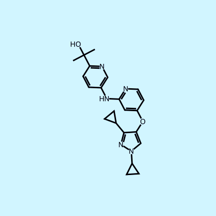 CC(C)(O)c1ccc(Nc2cc(Oc3cn(C4CC4)nc3C3CC3)ccn2)cn1